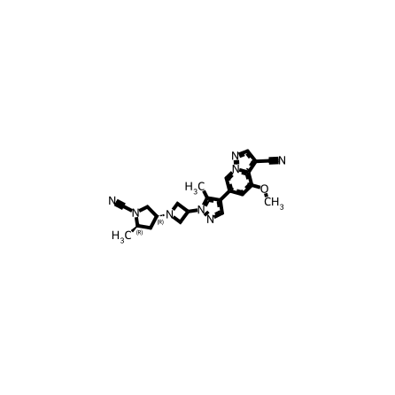 COc1cc(-c2cnn(C3CN([C@@H]4C[C@@H](C)N(C#N)C4)C3)c2C)cn2ncc(C#N)c12